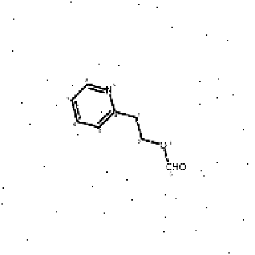 O=[C]OCCc1ccccn1